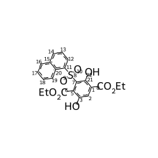 CCOC(=O)c1cc(O)c(C(=O)OCC)c(S(=O)(=O)c2cccc3ccccc23)c1O